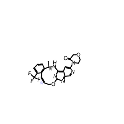 C[C@H]1Nc2nc(nc3cnc(N4CCOCC4=O)cc23)OC/C=C\c2c1cccc2C(F)(F)F